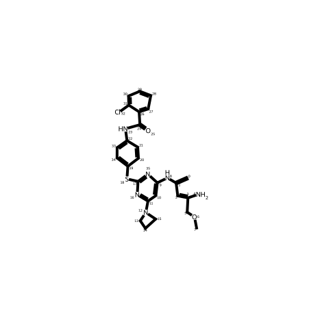 C=C(/C=C(\N)COC)Nc1cc(N2CCC2)nc(Sc2ccc(NC(=O)c3ccccc3Cl)cc2)n1